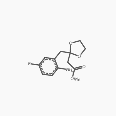 COC(=O)CC1(Cc2cc(F)ccc2N)OCCO1